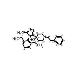 CCc1cccc(CC)c1-n1c(C)nnc1C1(O)CCN(CCc2ccccc2)CC1